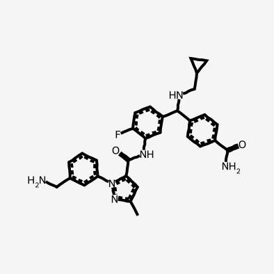 Cc1cc(C(=O)Nc2cc(C(NCC3CC3)c3ccc(C(N)=O)cc3)ccc2F)n(-c2cccc(CN)c2)n1